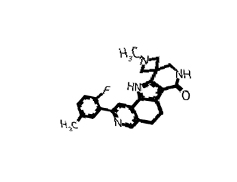 Cc1ccc(F)c(-c2cc3c(cn2)CCc2c-3[nH]c3c2C(=O)NCC32CN(C)C2)c1